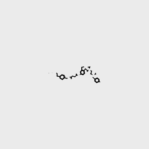 CCCCCC(C)C(=O)c1ccc(CNC(=O)CCC(=O)Nc2ccc3c(c2)CC[C@@]32OC(=O)N(CC(=O)N(Cc3ccc(F)cc3)[C@@H](C)C(F)(F)F)C2=O)cc1